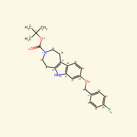 CC(C)(C)OC(=O)N1CCc2[nH]c3cc(OCc4ccc(F)cc4)ccc3c2CC1